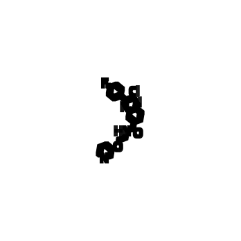 O=C(NCCOc1cccnc1)c1ccc2nc(Cl)c(-c3ccc(F)cc3)nc2c1